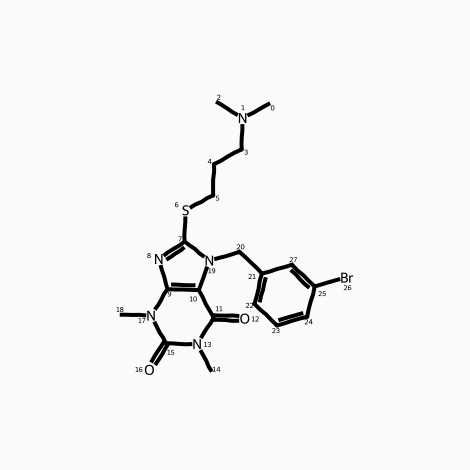 CN(C)CCCSc1nc2c(c(=O)n(C)c(=O)n2C)n1Cc1cccc(Br)c1